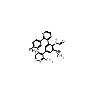 CNc1cc(C2=C(C)CON=C2C)cc(-c2cccnc2-c2ccc(F)cc2)c1NC=O